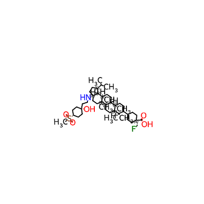 CC(C)[C@@H]1CC[C@]2(NCC[C@]3(O)CC[C@@H](S(C)(=O)=O)CC3)CC[C@]3(C)[C@H](CC[C@@H]4[C@@]5(C)CC=C(C6=CC[C@](CF)(C(=O)O)CC6)C(C)(C)[C@@H]5CC[C@]43C)[C@@H]12